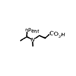 CCCCCC(C)N(C)CCC(=O)O